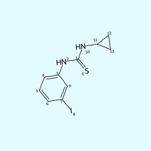 S=C(Nc1cccc(I)c1)NC1CC1